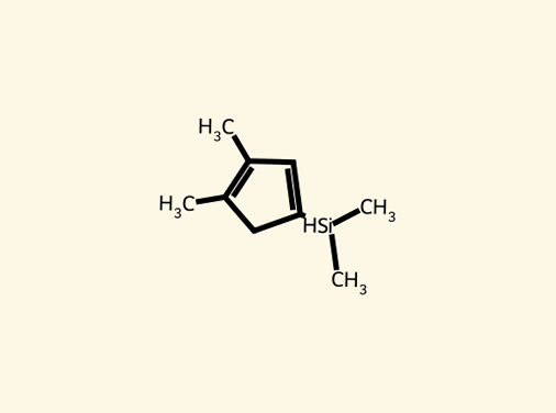 CC1=C(C)CC([SiH](C)C)=C1